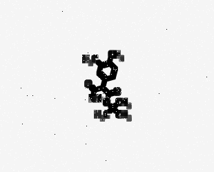 Cc1ccc(C(C([NH])=O)C(=O)OC(C)(C)C)cc1C